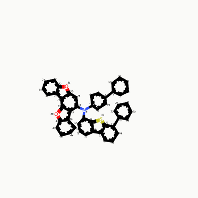 c1ccc(-c2ccc(N(c3cccc4c3sc3c(-c5ccccc5)cccc34)c3cc4oc5ccccc5c4c4oc5ccccc5c34)cc2)cc1